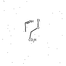 CC=N.CCOCC(=O)O